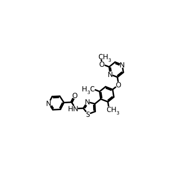 COc1cncc(Oc2cc(C)c(-c3csc(NC(=O)c4ccncc4)n3)c(C)c2)n1